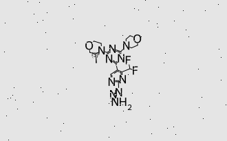 C[C@H]1COCCN1c1nc(-c2cnc(N=NN)nc2C(F)F)nc(N2CCOCC2)n1